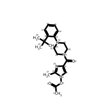 CC(=O)On1cc(C(=O)N2CCN(c3ccccc3C(C)(C)C)CC2)nc1C